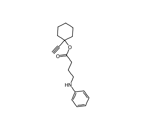 C#CC1(OC(=O)CCCNc2ccccc2)CCCCC1